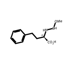 COBN[C@H](CCc1ccccc1)C(=O)O